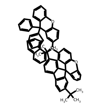 CC(C)(C)c1ccc2c(c1)C1(c3ccccc3Oc3ccc(N(c4ccc5c(c4)C(c4ccccc4)(c4ccccc4)c4ccccc4O5)c4cccc5ccccc45)cc31)c1cc(C(C)(C)C)ccc1-2